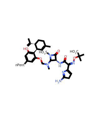 C=C(C)[C@@H]1CCC(C)=C[C@H]1c1c(O)cc(CCCCC)cc1OCN(C)C1[C@H](NC(=O)/C(=N\OC(C)(C)C(=O)O)C2=CCC(N)=N2)C(=O)N1S(=O)(=O)O